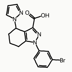 O=C(O)c1nn(-c2cccc(Br)c2)c2c1C(n1cccn1)CCC2